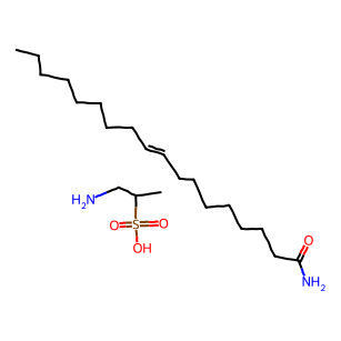 CC(CN)S(=O)(=O)O.CCCCCCCCC=CCCCCCCCC(N)=O